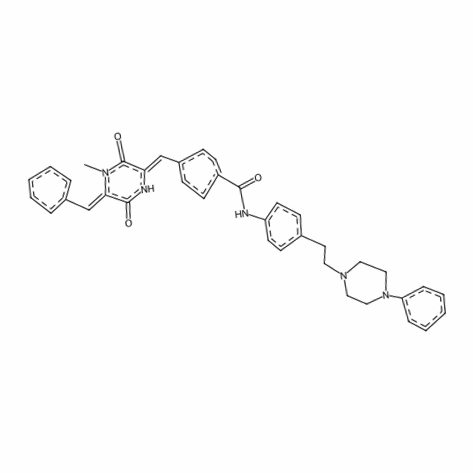 Cn1c(=O)/c(=C/c2ccc(C(=O)Nc3ccc(CCN4CCN(c5ccccc5)CC4)cc3)cc2)[nH]c(=O)/c1=C/c1ccccc1